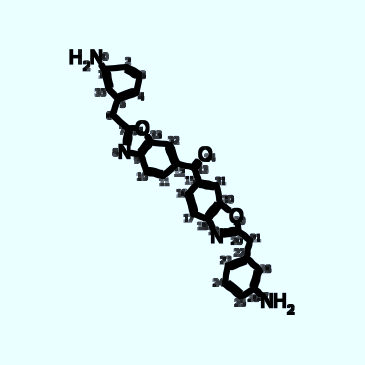 Nc1cccc(Cc2nc3ccc(C(=O)c4ccc5nc(Cc6cccc(N)c6)oc5c4)cc3o2)c1